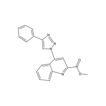 COC(=O)c1cc(-n2cc(-c3ccccc3)nn2)c2ccccc2n1